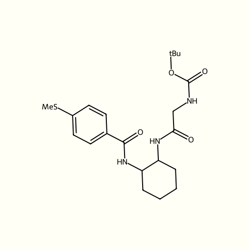 CSc1ccc(C(=O)NC2CCCCC2NC(=O)CNC(=O)OC(C)(C)C)cc1